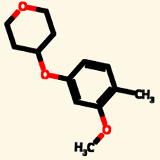 COc1cc(OC2CCOCC2)ccc1C